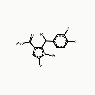 COC(=O)c1cc(Br)n(C(C)C)c1C(O)c1ccc(C#N)c(F)c1